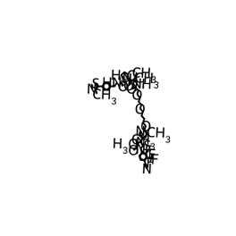 Cc1cc(N2C(=S)N(c3ccc(C#N)c(C(F)(F)F)c3F)C(=O)C2(C)C)cnc1OCCCCOCCCOCC(=O)NC(C(=O)N1CCC[C@H]1C(=O)NCc1ccc(-c2scnc2C)cc1)C(C)(C)C